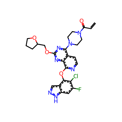 C=CC(=O)N1CCN(c2nc(OCC3CCCO3)nc3c(Oc4c(Cl)c(F)cc5[nH]ncc45)nccc23)CC1